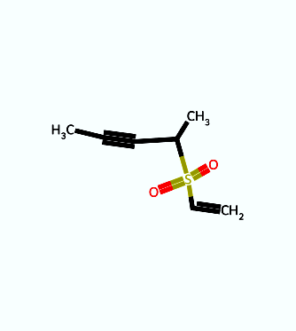 C=CS(=O)(=O)C(C)C#CC